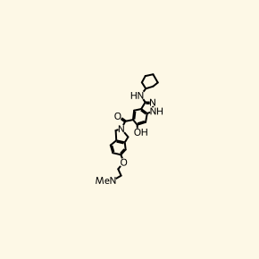 CNCCOc1ccc2c(c1)CN(C(=O)c1cc3c(NC4CCCCC4)n[nH]c3cc1O)C2